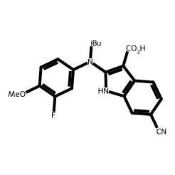 CCC(C)N(c1ccc(OC)c(F)c1)c1[nH]c2cc(C#N)ccc2c1C(=O)O